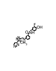 Cn1c(CNc2cccc(C(=O)NCc3ccc(O)c(F)c3)c2)nnc1-c1ccncn1